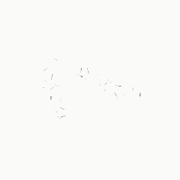 CCn1nc(C)c(CCCCCn2nc(C)cc2C(=O)Nc2nc3cc(C(N)=O)cc4c3n2CCO4)c1C(=O)Nc1nc2cc(C(N)O)cc3c2n1CCO3